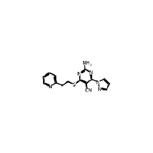 N#Cc1c(SCCc2ccccn2)nc(N)nc1-n1cccn1